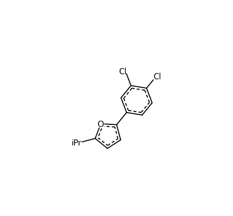 CC(C)c1ccc(-c2ccc(Cl)c(Cl)c2)o1